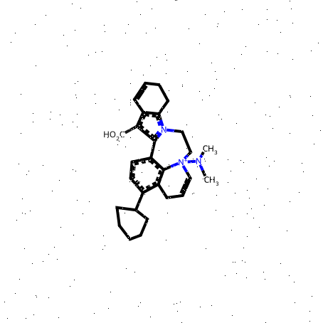 CN(C)[N+]12C=CCc3c(C4CCCCC4)ccc(c31)-c1c(C(=O)O)c3c(n1CC2)CCC=C3